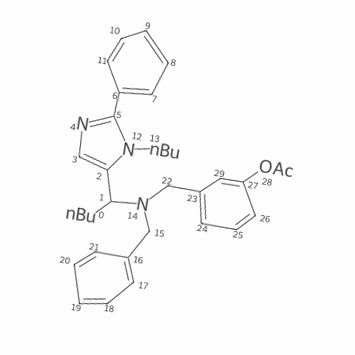 CCCCC(c1cnc(-c2ccccc2)n1CCCC)N(Cc1ccccc1)Cc1cccc(OC(C)=O)c1